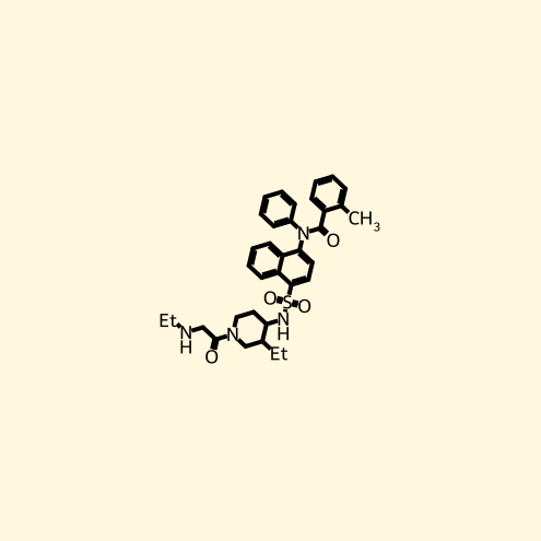 CCNCC(=O)N1CCC(NS(=O)(=O)c2ccc(N(C(=O)c3ccccc3C)c3ccccc3)c3ccccc23)C(CC)C1